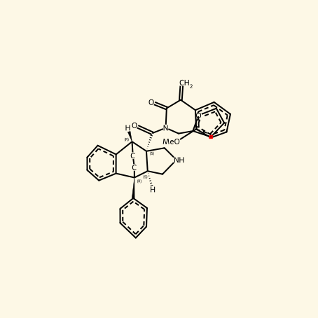 C=C(C(=O)N(Cc1ccco1)C(=O)[C@]12CNC[C@H]1[C@@]1(c3ccccc3)CC[C@@H]2c2ccccc21)c1ccccc1OC